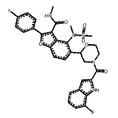 CNC(=O)c1c(-c2ccc(F)cc2)oc2ccc(C3CN(C(=O)c4cc5cccc(F)c5[nH]4)CCO3)c(N(C)S(C)(=O)=O)c12